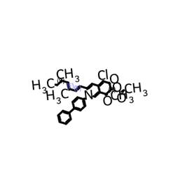 CC[C@H](C)/C=C(C)/C=C/C1=CC2=C(Cl)C(=O)[C@](C)(OC(C)=O)C(=O)C2=CN1c1ccc(-c2ccccc2)cc1